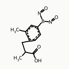 Cc1cc(B(N=O)N=O)ccc1CC(C)C(=O)O